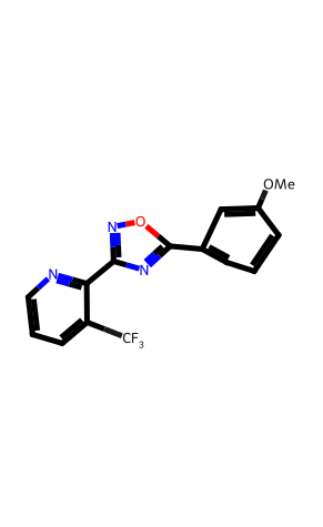 COc1cccc(-c2nc(-c3ncccc3C(F)(F)F)no2)c1